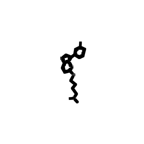 Cc1cccc(-c2cnc3ccc(OCCCCN(C)C)nn23)c1